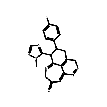 Cn1ncnc1C1C2=NCC(=O)C=C3N=NCC(=C32)CC1c1ccc(F)cc1